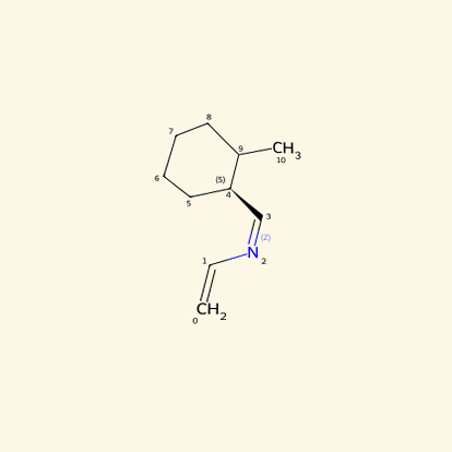 C=C/N=C\[C@H]1CCCCC1C